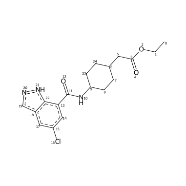 CCOC(=O)CC1CCC(NC(=O)c2cc(Cl)cc3cn[nH]c23)CC1